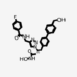 O=C(C[C@@H](Cc1ccc(-c2ccc(CO)cc2)cc1)n1cc(CNC(=O)c2ccc(F)cc2)nn1)NO